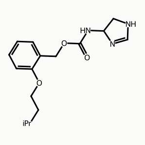 CC(C)CCOc1ccccc1COC(=O)NC1CNC=N1